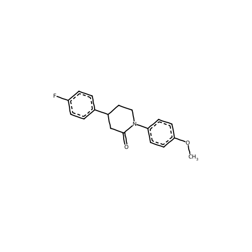 COc1ccc(N2CCC(c3ccc(F)cc3)CC2=O)cc1